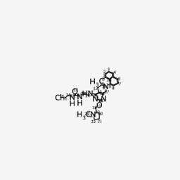 Cc1cccc2cccc(N3CCc4c(nc(OCC5CCCN5C)nc4NCCNC(=O)NCCCl)C3)c12